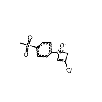 CS(=O)(=O)c1ccc([N+]2([O-])C=C(Cl)C2)cc1